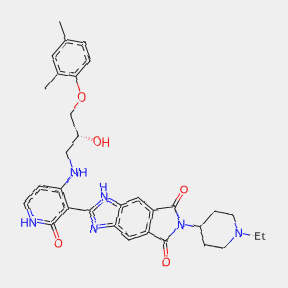 CCN1CCC(N2C(=O)c3cc4nc(-c5c(NC[C@@H](O)COc6ccc(C)cc6C)cc[nH]c5=O)[nH]c4cc3C2=O)CC1